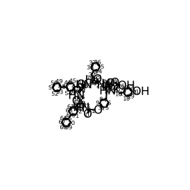 O=C1COc2ccc(cc2)C[C@@H](C(=O)N[C@@H](Cc2ccc(O)cc2)C(=O)O)NC(=O)[C@H](CCc2ccccc2)NC(=O)[C@@H](Cc2ccc(-c3ccccc3)cc2)NC(=O)[C@H](Cc2ccc(-c3ccccc3)cc2)N1